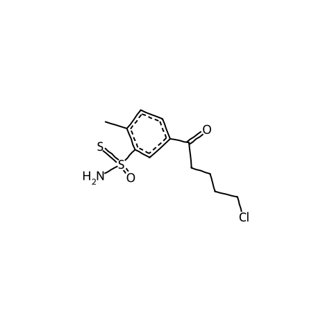 Cc1ccc(C(=O)CCCCCl)cc1S(N)(=O)=S